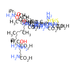 CC(C)C[C@H](N)C(=O)O.CC(C)[C@H](N)C(=O)O.CC(C)[C@H](N)C(=O)O.C[C@@H](O)[C@H](N)C(=O)O.Cc1c(C)c2c(c(C)c1OC(=O)[C@@H](N)CC(C)C)CCC(C)(CCCC(C)CCCC(C)CCCC(C)C)O2.NCCCC[C@H](N)C(=O)O.NCCCC[C@H](N)C(=O)O.N[C@@H](CS)C(=O)O.N[C@@H](CS)C(=O)O.O=C(O)[C@@H]1CCCN1